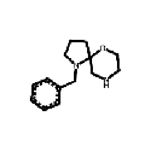 c1ccc(CN2CCCC23CNCCO3)cc1